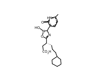 Cc1ccc(C2N=C([C@H](CCCC3CCCCC3)CC(=O)O)ON2O)c(=O)[nH]1